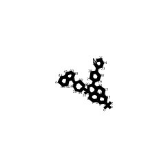 CC(C)(C)c1cc2ccc3c4c(ccc(c1)c24)=C(c1ccc(-c2cccnc2)cc1)CC3(C)C1=CCC=C(c2cccc3ccccc23)C=C1